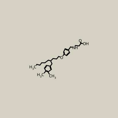 CCCCCCC(CCCOc1ccc(CNCCC(=O)O)cc1)Cc1ccc(C)c(C)c1